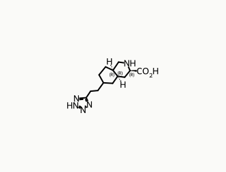 O=C(O)[C@H]1C[C@H]2CC(CCc3nn[nH]n3)CC[C@H]2CN1